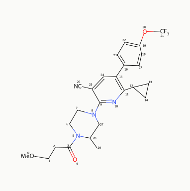 COCCC(=O)N1CCN(c2nc(C3CC3)c(-c3ccc(OC(F)(F)F)cc3)cc2C#N)CC1C